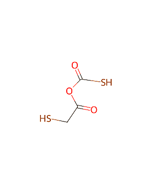 O=C(S)OC(=O)CS